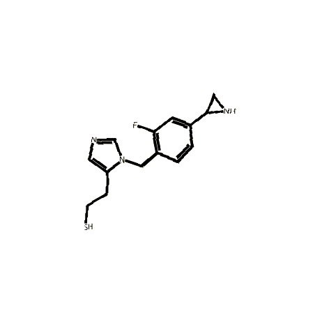 Fc1cc(C2CN2)ccc1Cn1cncc1CCS